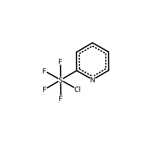 FS(F)(F)(F)(Cl)c1ccccn1